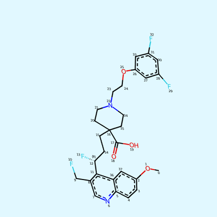 COc1ccc2ncc(CF)c([C@H](F)CCC3(C(=O)O)CCN(CCOc4cc(F)cc(F)c4)CC3)c2c1